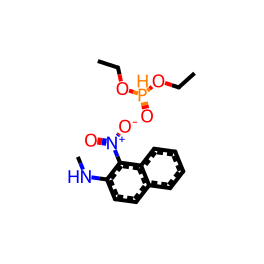 CCO[PH](=O)OCC.CNc1ccc2ccccc2c1[N+](=O)[O-]